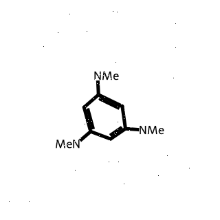 CNc1cc(NC)cc(NC)c1